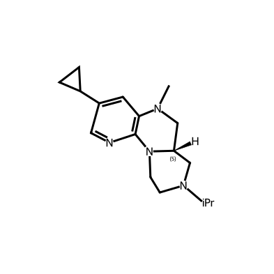 CC(C)N1CCN2c3ncc(C4CC4)cc3N(C)C[C@@H]2C1